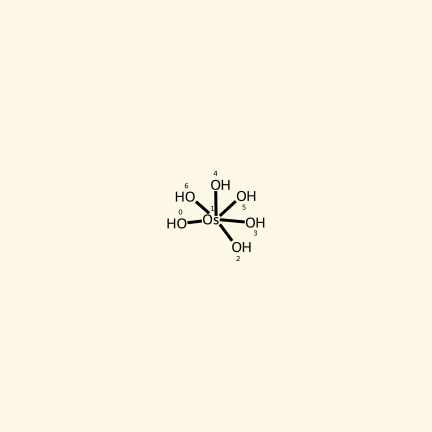 [OH][Os]([OH])([OH])([OH])([OH])[OH]